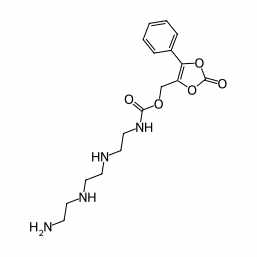 NCCNCCNCCNC(=O)OCc1oc(=O)oc1-c1ccccc1